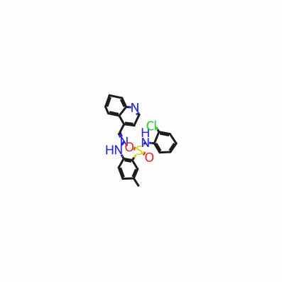 Cc1ccc(N/N=C/c2ccnc3ccccc23)c(S(=O)(=O)Nc2ccccc2Cl)c1